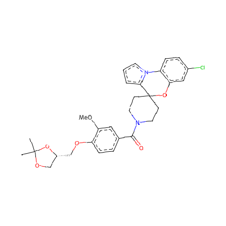 COc1cc(C(=O)N2CCC3(CC2)Oc2cc(Cl)ccc2-n2cccc23)ccc1OC[C@@H]1COC(C)(C)O1